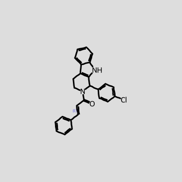 O=C(/C=C/c1ccccc1)N1CCc2c([nH]c3ccccc23)C1c1ccc(Cl)cc1